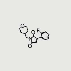 O=C1C=C(c2ccccc2F)C(=O)N1CC1CCOCC1